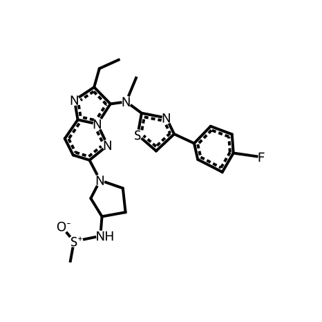 CCc1nc2ccc(N3CCC(N[S+](C)[O-])C3)nn2c1N(C)c1nc(-c2ccc(F)cc2)cs1